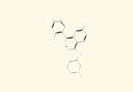 [2H]c1ccc2c(NC3CCCN(C)C3)nnc(-c3ccc(C(F)(F)F)cc3O)c2c1